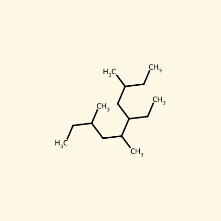 CCC(C)C[C](C)C(CC)CC(C)CC